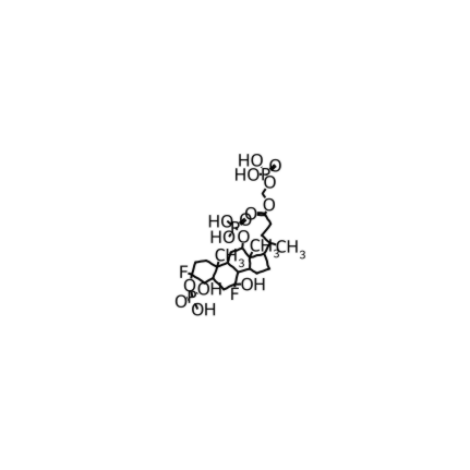 CC(CCC(=O)OCOP(=O)(O)O)C1CCC2C3C(CC(OP(=O)(O)O)C12C)C1(C)CCC(F)(OP(=O)(O)O)CC1CC3(O)F